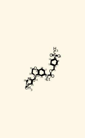 CCN(C(=O)OCc1ccc(S(C)(=O)=O)cc1)c1ccc2c(c1)N(Cc1cn(C)cn1)CCO2